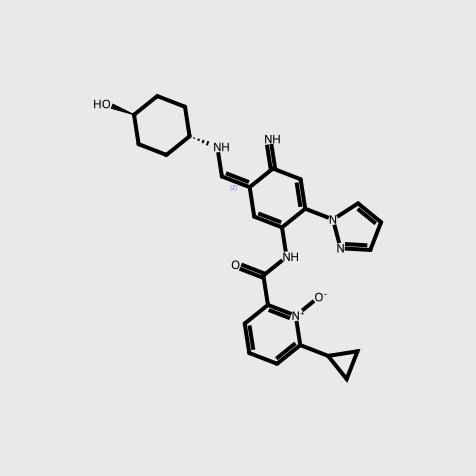 N=C1C=C(n2cccn2)C(NC(=O)c2cccc(C3CC3)[n+]2[O-])=C/C1=C/N[C@H]1CC[C@H](O)CC1